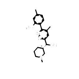 Cc1ccc(-c2nnc(C(O)[C@@H]3CCCN(C)C3)cc2C)c(O)c1